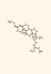 CC/C=C1\C=C2CCC3C4CCC([C@H](C)CCC[C@@H](C)CO)C4(C)CCC3[C@@]2(C)CC1